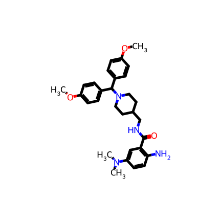 COc1ccc(C(c2ccc(OC)cc2)N2CCC(CNC(=O)c3cc(N(C)C)ccc3N)CC2)cc1